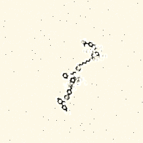 CCCC[C@@H](CC(NCCCCCCCN1CCN(CCC(CSc2ccccc2)Nc2ccc(S(=O)(=O)NC(=O)c3ccc(N4CCN(CC5=C(c6ccc(Cl)cc6)CCC(C)(C)C5)CC4)cc3)cc2S(=O)(=O)C(F)(F)F)CC1)C(C)(C)C)N1C[C@H](O)C[C@H]1C(=O)N[C@@H](C)c1ccc(-c2scnc2C)cc1